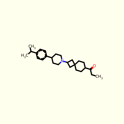 CCC(=O)C1CCC2(CC1)CC(N1CCC(c3ccc(C(C)C)cc3)CC1)C2